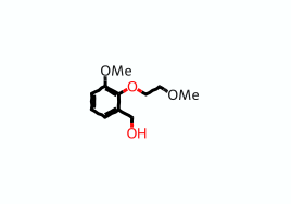 COCCOc1c(CO)cccc1OC